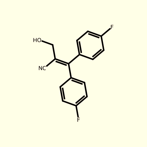 N#CC(CO)=C(c1ccc(F)cc1)c1ccc(F)cc1